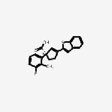 Cc1c(F)cccc1[C@@]1(C(=O)O)C=C(c2cc3ccccc3s2)CC1